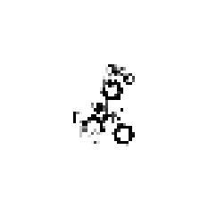 CN(c1c(C=O)c(C(F)F)nn1-c1ccc(S(C)(=O)=O)nc1)C1CCCCC1